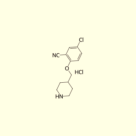 Cl.N#Cc1cc(Cl)ccc1OCC1CCNCC1